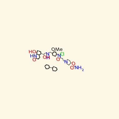 COc1cc(N(Cl)C(=O)CCN2CCC(OC(N)=O)CC2)ccc1CNCC(O)c1ccc(O)c2[nH]c(=O)ccc12.c1ccc(-c2ccccc2)cc1